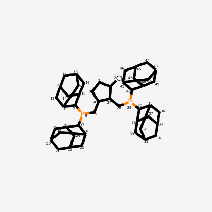 CC1CCC(CP(C2C3CC4CC(C3)CC2C4)C2C3CC4CC(C3)CC2C4)C1CP(C1C2CC3CC(C2)CC1C3)C1C2CC3CC(C2)CC1C3